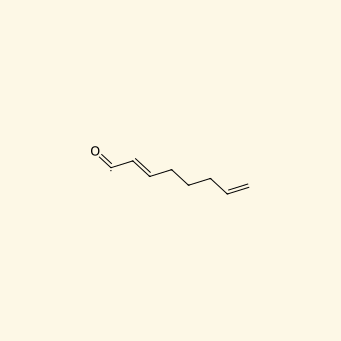 C=CCCCC=C[C]=O